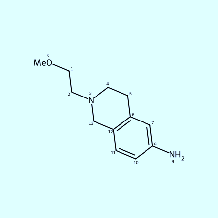 COCCN1CCc2cc(N)ccc2C1